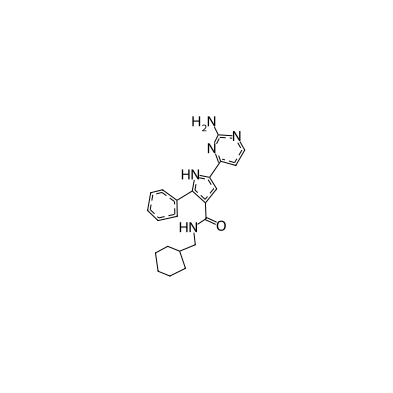 Nc1nccc(-c2cc(C(=O)NCC3CCCCC3)c(-c3ccccc3)[nH]2)n1